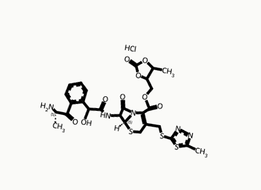 Cc1nnc(SCC2=C(C(=O)OCC3OC(=O)OC3C)N3C(=O)C(NC(=O)C(O)c4ccccc4C(=O)[C@H](C)N)[C@@H]3SC2)s1.Cl